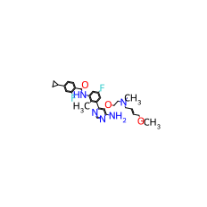 COC/C=C/CN(C)CCOc1c(N)ncnc1-c1cc(F)cc(NC(=O)c2ccc(C3CC3)cc2F)c1C